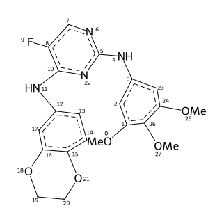 COc1cc(Nc2ncc(F)c(Nc3ccc4c(c3)OCCO4)n2)cc(OC)c1OC